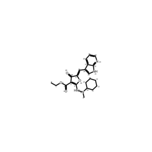 CCOC(=O)C1=C(NN(C)C2CCCCC2)OC(=Cc2c[nH]c3ncccc23)C1=O